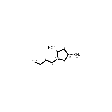 C[C@H]1CCN(CCCCl)C1.Cl